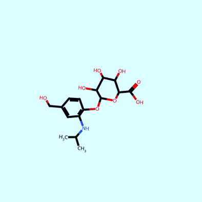 CC(C)Nc1cc(CO)ccc1OC1OC(C(=O)O)C(O)C(O)C1O